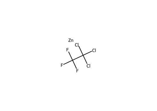 FC(F)(F)C(Cl)(Cl)Cl.[Zn]